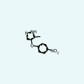 Cc1[nH]ncc1Oc1ccc([N+](=O)[O-])cc1